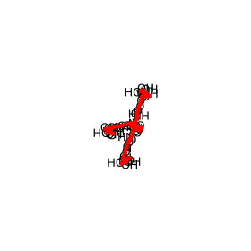 CC(=O)N[C@H]1[C@H](OCCOCCOCCOCC(=O)NCCCC[C@H](NC(=O)COCCOCCOCCO[C@@H]2O[C@H](CO)[C@H](O)[C@H](O)[C@H]2NC(C)=O)C(=O)N[C@@H](CCCCNC(=O)COCCOCCOCCO[C@@H]2O[C@H](CO)[C@H](O)[C@H](O)[C@H]2NC(C)=O)C(=O)ON2C(=O)CCC2=O)O[C@H](CO)[C@H](O)[C@@H]1O